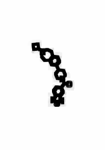 O=C(c1ccc2nonc2c1)N1CCC(c2ccc3c(c2)CCN(C2CCC2)CC3)CC1